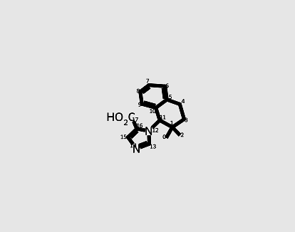 CC1(C)CCc2ccccc2C1n1cncc1C(=O)O